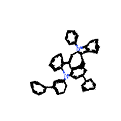 C1#Cc2c(n(-c3ccccc3)c3ccccc23)C=C(c2ccccc2N(C2=CC(c3ccccc3)=CCC2)c2cccc(-c3ccccc3)c2)C1